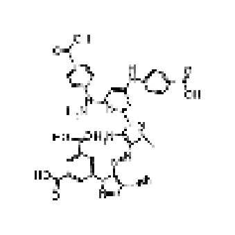 Cc1nn(-c2nc(Nc3ccc(C(=O)O)cc3)cc(N(N)c3ccc(C(=O)O)cc3)n2)c(N)c1N=Nc1c(C#N)cnn1-c1cc(C(=O)O)cc(C(=O)O)c1